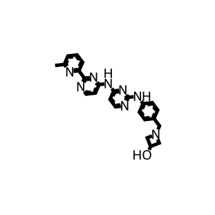 Cc1cccc(-c2nccc(Nc3ccnc(Nc4ccc(CN5CC(O)C5)cc4)n3)n2)n1